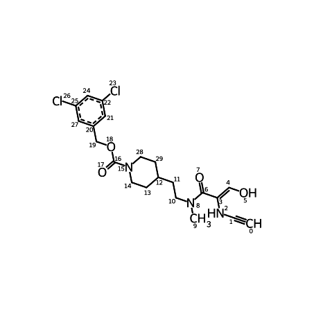 C#CN/C(=C\O)C(=O)N(C)CCC1CCN(C(=O)OCc2cc(Cl)cc(Cl)c2)CC1